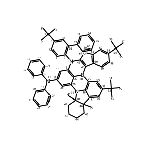 CC(C)(C)c1ccc(N2c3cc(N(c4ccccc4)c4ccccc4)cc4c3B(c3cc(C(C)(C)C)cc5c3N4C3(C)CCCCC53C)c3c2oc2cc(C(C)(C)C)ccc32)c(-c2ccccc2)c1